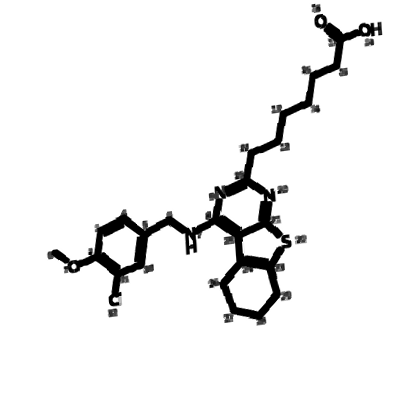 COc1ccc(CNc2nc(CCCCCCC(=O)O)nc3sc4c(c23)CCCC4)cc1Cl